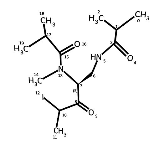 CC(C)C(=O)NC[C@@H](C(=O)C(C)I)N(C)C(=O)C(C)C